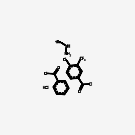 CC(C)(C)NN.Cl.O=C(Cl)c1ccc(Cl)c(C(F)(F)F)c1.O=C(Cl)c1ccccc1